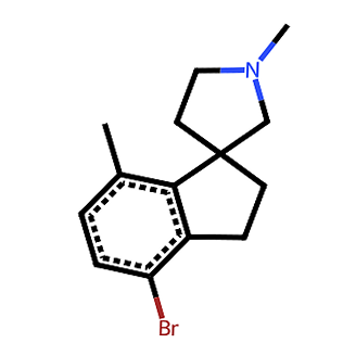 Cc1ccc(Br)c2c1C1(CC2)CCN(C)C1